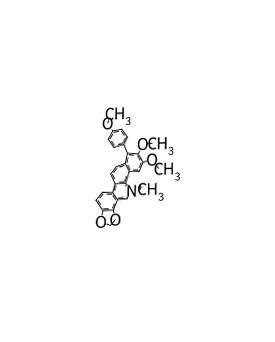 COc1ccc(-c2c(OC)c(OC)cc3c2ccc2c4ccc5c(c4c[n+](C)c32)OCO5)cc1